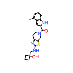 Cc1cccc2[nH]c(C(=O)N3CCc4nc(NCC5(O)CCC5)sc4C3)cc12